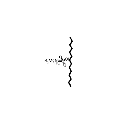 CCCCCCCCCCCCCC.O=S(=O)(O)O.[MgH2].[NaH]